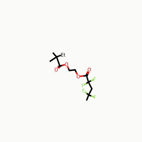 CCC(C)(C)C(=O)OCCOC(=O)C(F)(F)CC(C)(F)F